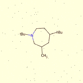 CCCCC1CCN(C(C)(C)C)CC(C)C1